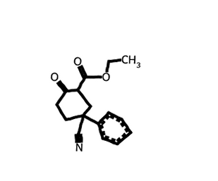 CCOC(=O)C1CC(C#N)(c2ccccc2)CCC1=O